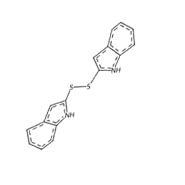 c1ccc2[nH]c(SSc3cc4ccccc4[nH]3)cc2c1